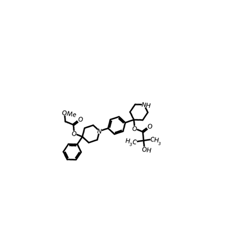 COCC(=O)OC1(c2ccccc2)CCN(c2ccc(C3(OC(=O)C(C)(C)O)CCNCC3)cc2)CC1